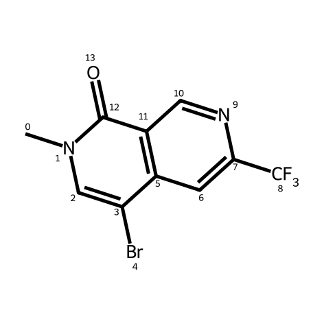 Cn1cc(Br)c2cc(C(F)(F)F)ncc2c1=O